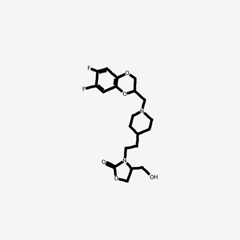 O=C1OCC(CO)N1CCC1CCN(CC2COc3cc(F)c(F)cc3O2)CC1